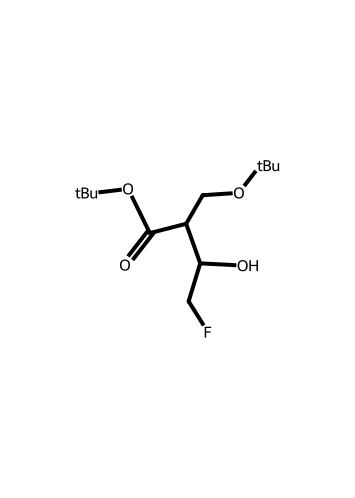 CC(C)(C)OCC(C(=O)OC(C)(C)C)C(O)CF